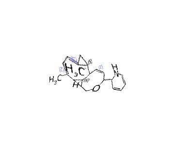 C/C1=C/C=C2\C[C@@]2(C)C2/C=C\C(C3C=CC=CN3)OCC3C1[C@H]32